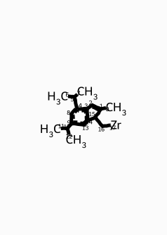 CC1=Cc2c(C(C)C)cc(C(C)C)cc2C1[CH2][Zr]